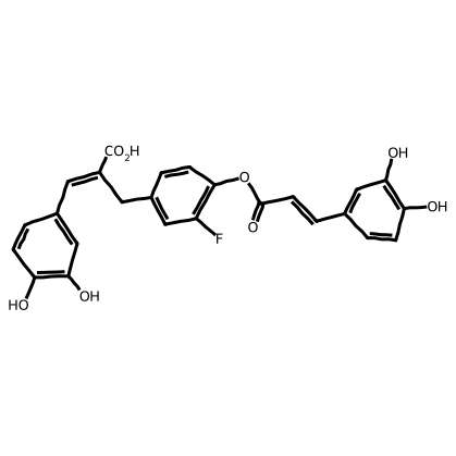 O=C(/C=C/c1ccc(O)c(O)c1)Oc1ccc(C/C(=C\c2ccc(O)c(O)c2)C(=O)O)cc1F